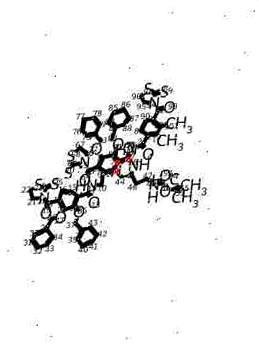 Cc1c(C(=O)NCCN(CCNC(=O)c2ccc(C(=O)N3CCSC3=S)c(OCc3ccccc3)c2OCc2ccccc2)C[C@H](CCNC(=O)OC(C)(C)C)NC(=O)c2ccc(C(=O)N3CCSC3=S)c(OCc3ccccc3)c2OCc2ccccc2)ccc(C(=O)N2CCSC2=S)c1C